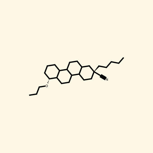 CCCCC[C@@]1(C#N)CCC2C(CCC3C2CCC2C3CCC[C@H]2OCCC)C1